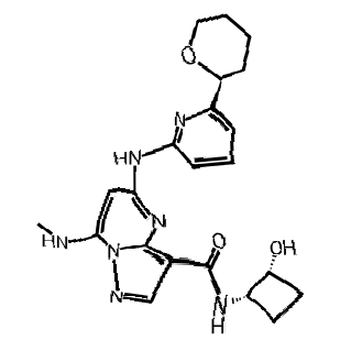 CNc1cc(Nc2cccc([C@@H]3CCCCO3)n2)nc2c(C(=O)N[C@H]3CC[C@H]3O)cnn12